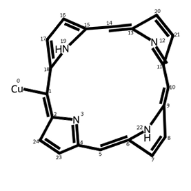 [Cu][c]1c2nc(cc3ccc(cc4nc(cc5ccc1[nH]5)C=C4)[nH]3)C=C2